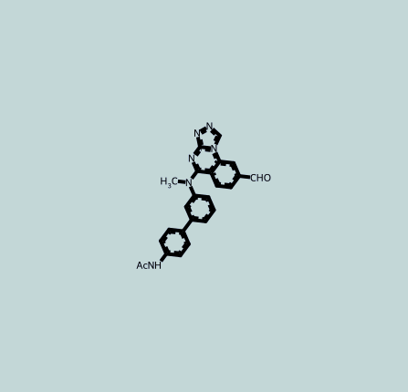 CC(=O)Nc1ccc(-c2cccc(N(C)c3nc4nncn4c4cc(C=O)ccc34)c2)cc1